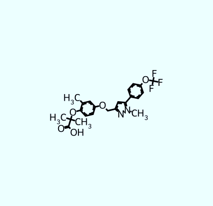 Cc1cc(OCc2cc(-c3ccc(OC(F)(F)F)cc3)n(C)n2)ccc1OC(C)(C)C(=O)O